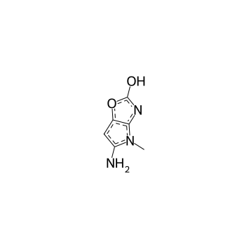 Cn1c(N)cc2oc(O)nc21